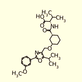 COc1cccc(-c2nc(CO[C@@H]3CCC[C@H](C(=O)N[C@H](C(=O)O)C(C)C)C3)c(C(C)C)o2)c1